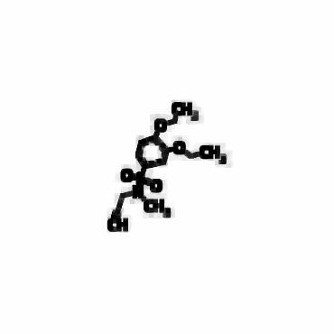 C#CCN(C)S(=O)(=O)c1ccc(OCC)c(OCC)c1